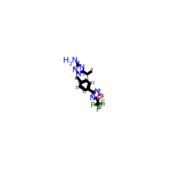 CCc1nc(N)nn1Cc1ccc(-c2noc(C(F)(F)F)n2)cc1